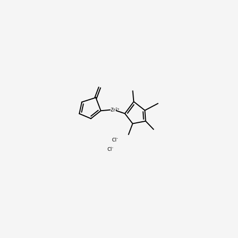 C=C1C=CC=[C]1[Zr+2][C]1=C(C)C(C)=C(C)C1C.[Cl-].[Cl-]